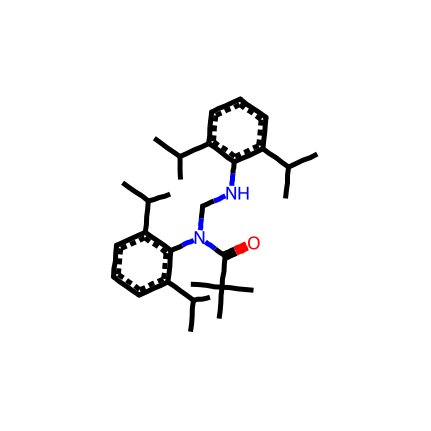 CC(C)c1cccc(C(C)C)c1NCN(C(=O)C(C)(C)C)c1c(C(C)C)cccc1C(C)C